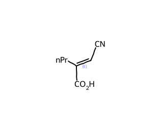 CCC/C(=C\C#N)C(=O)O